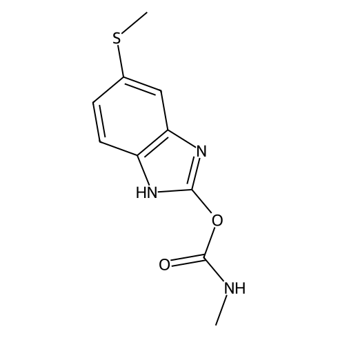 CNC(=O)Oc1nc2cc(SC)ccc2[nH]1